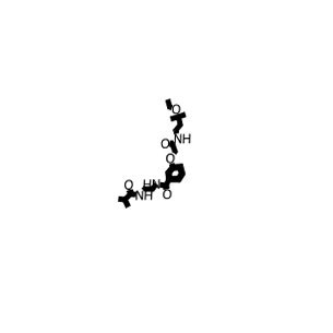 CCOC(C)(C)CCNC(=O)COc1cccc(C(=O)NCCNC(=O)C(C)C)c1